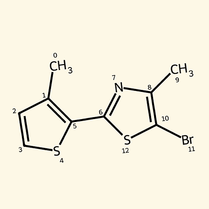 Cc1ccsc1-c1nc(C)c(Br)s1